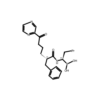 CC(C)C[C@H](NC(=O)[C@@H](CCCC(=O)c1cnccn1)Cc1ccccc1)B(O)O